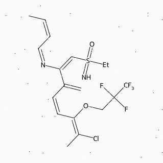 C=C(/C=C\C(OCC(F)(F)C(F)(F)F)=C(/C)Cl)C(=C\S(=N)(=O)CC)/N=C\C=C/C